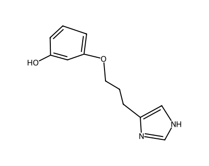 Oc1cccc(OCCCc2c[nH]cn2)c1